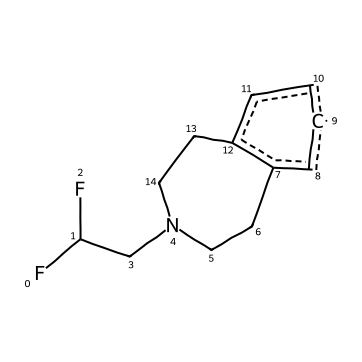 FC(F)CN1CCc2c[c]ccc2CC1